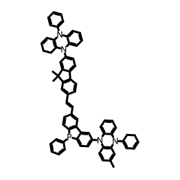 Cc1ccc2c(c1)N(C1=CC=CCC1)c1ccccc1N2c1ccc2c(c1)c1cc(/C=C/c3ccc4c(c3)C(C)(C)c3cc(N5C6=C(C=CCC6)N(c6ccccc6)c6ccccc65)ccc3-4)ccc1p2-c1ccccc1